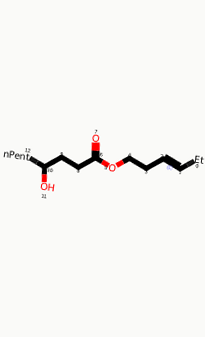 CC/C=C/CCOC(=O)CCC(O)CCCCC